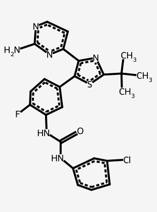 CC(C)(C)c1nc(-c2ccnc(N)n2)c(-c2ccc(F)c(NC(=O)Nc3cccc(Cl)c3)c2)s1